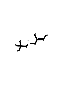 C/C=C(\C)COCC(C)(C)C